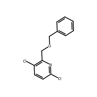 Clc1ccc(Cl)c(COCc2ccccc2)n1